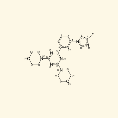 Cc1cn(-c2cccc(-c3nc(N4CCOCC4)nc(N4CCOCC4)n3)n2)cn1